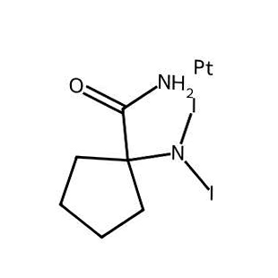 NC(=O)C1(N(I)I)CCCC1.[Pt]